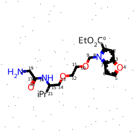 CCOC(=O)c1cc2occc2n1COCCOCC(NC(=O)CN)C(C)C